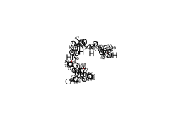 Cc1ccc(C(=O)N(CCCNC(=O)OC(C)OC(=O)C(NC(=O)CCNC(=O)OCC(OC(CO)C(C)(C)C)OC(C)(C)C)C(C)C)C(c2nc3cc(Cl)ccc3c(=O)n2Cc2ccccc2)C(C)C)cc1